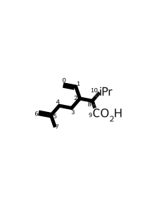 C=CC(CCC(=C)C)C(C(=O)O)C(C)C